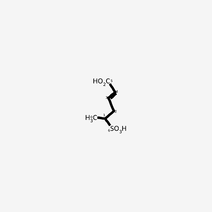 CC(CC=CC(=O)O)S(=O)(=O)O